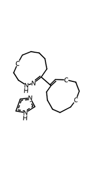 C1=C(C2=NNCCCCCCCC2)CCCCCCCCC1.c1c[nH]cn1